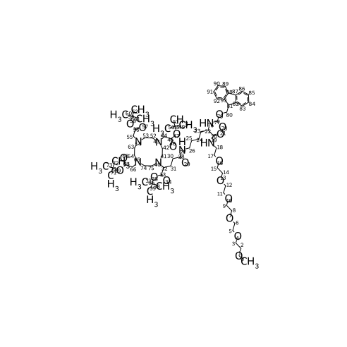 COCCOCCOCCOCCOCCOCCNC(=O)[C@@H](CCCCNC(=O)CCC(C(=O)OC(C)(C)C)N1CCN(CC(=O)OC(C)(C)C)CCN(CC(=O)OC(C)(C)C)CCN(CC(=O)OC(C)(C)C)CC1)NC(=O)OCC1c2ccccc2-c2ccccc21